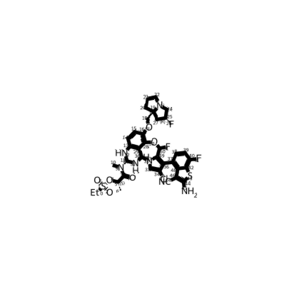 CCS(=O)(=O)O[C@@H](C)C(=O)N(C)[C@@H]1Nc2ccc(OC[C@@]34CCCN3C[C@H](F)C4)c3c2[C@H](N1)n1cc(Cl)c(-c2ccc(F)c4sc(N)c(C#N)c24)c1C(F)O3